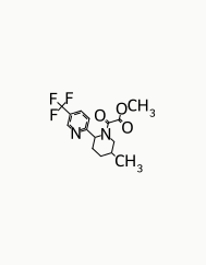 COC(=O)C(=O)N1CC(C)CCC1c1ccc(C(F)(F)F)cn1